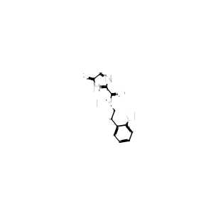 O=C(NCCc1ccccc1Cl)C1=NC(=S)C=N1